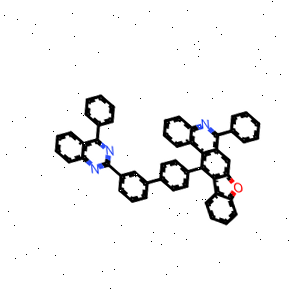 c1ccc(-c2nc(-c3cccc(-c4ccc(-c5c6c(cc7c(-c8ccccc8)nc8ccccc8c57)oc5ccccc56)cc4)c3)nc3ccccc23)cc1